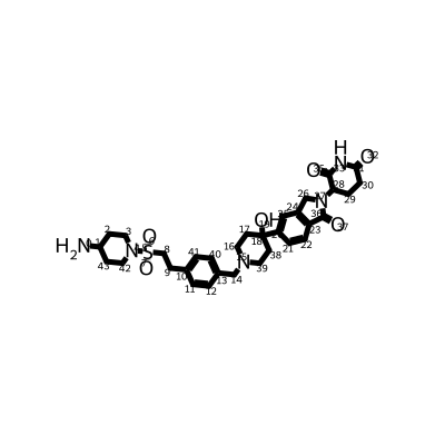 NC1CCN(S(=O)(=O)CCc2ccc(CN3CCC(O)(c4ccc5c(c4)CN(C4CCC(=O)NC4=O)C5=O)CC3)cc2)CC1